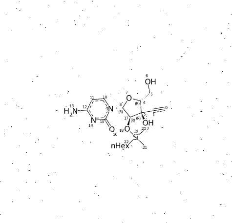 C#C[C@@]1(O)[C@@H](CO)O[C@@H](n2ccc(N)nc2=O)[C@@H]1O[Si](C)(C)CCCCCC